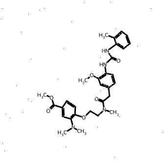 COC(=O)c1ccc(OCCN(C)C(=O)Cc2ccc(NC(=O)Nc3ccccc3C)c(OC)c2)c(N(C)C)c1